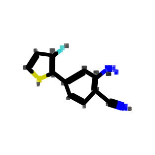 N#Cc1ccc(-c2sccc2F)cc1N